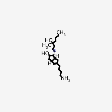 CCCC[C@](C)(O)C/C=C/[C@@H]1[C@H]2CC(CCCCN)=C[C@H]2C[C@H]1O